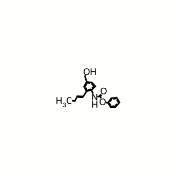 CC/C=C/c1cc(CO)ccc1NC(=O)Oc1ccccc1